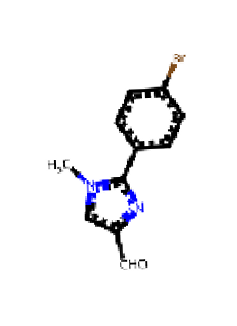 Cn1cc(C=O)nc1-c1ccc(Br)cc1